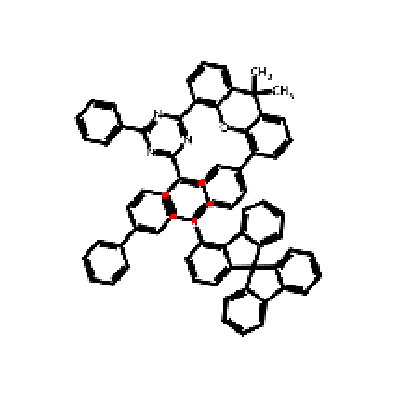 CC1(C)c2cccc(-c3ccc(N(c4cccc(-c5ccccc5)c4)c4cccc5c4-c4ccccc4C54c5ccccc5-c5ccccc54)cc3)c2Oc2c(-c3nc(-c4ccccc4)nc(-c4ccccc4)n3)cccc21